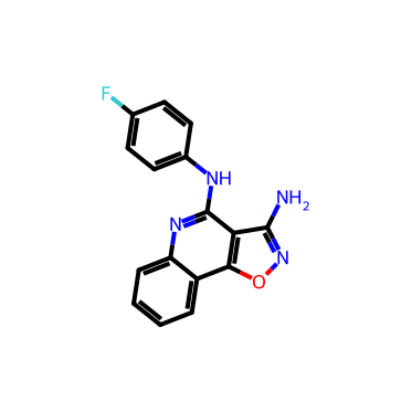 Nc1noc2c1c(Nc1ccc(F)cc1)nc1ccccc12